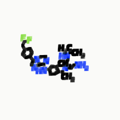 C=C(C)NCCN(CCN)C(=C)c1ccc(Nc2nccn3c(-c4ccc(CC(F)F)cc4)cnc23)cc1C